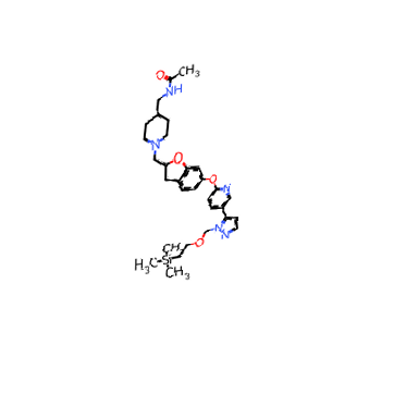 CC(=O)NCC1CCN(CC2Cc3ccc(Oc4ccc(-c5ccnn5COCC[Si](C)(C)C)cn4)cc3O2)CC1